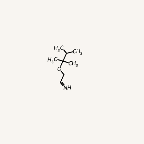 CC(C)C(C)(C)OCC=N